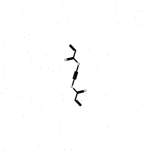 C=CC(=O)OC#COC(=O)C=C